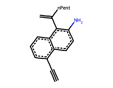 C#Cc1cccc2c(C(=C)CCCCC)c(N)ccc12